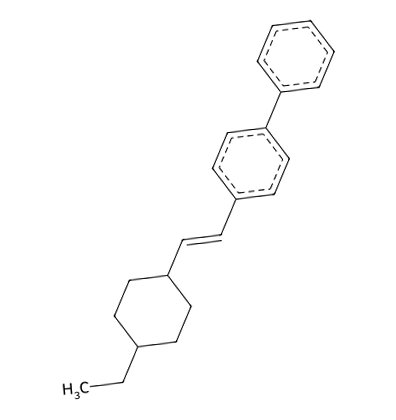 CCC1CCC(C=Cc2ccc(-c3ccccc3)cc2)CC1